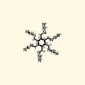 [N-]=[N+]=NCc1c(CN=[N+]=[N-])c(CN=[N+]=[N-])c(CN=[N+]=[N-])c(CN=[N+]=[N-])c1CN=[N+]=[N-]